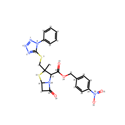 CC1(CSc2nnnn2-c2ccccc2)SC2CC(=O)N2C1C(=O)OCc1ccc([N+](=O)[O-])cc1